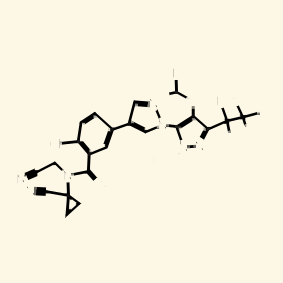 Cn1nc(C(F)(F)C(F)(F)F)c(OC(F)F)c1-n1cc(-c2ccc(Cl)c(C(=O)N(CC#N)C3(C#N)CC3)c2)cn1